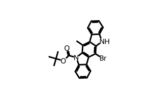 Cc1c2c([nH]c3ccccc32)c(Br)c2c3ccccc3n(C(=O)OC(C)(C)C)c12